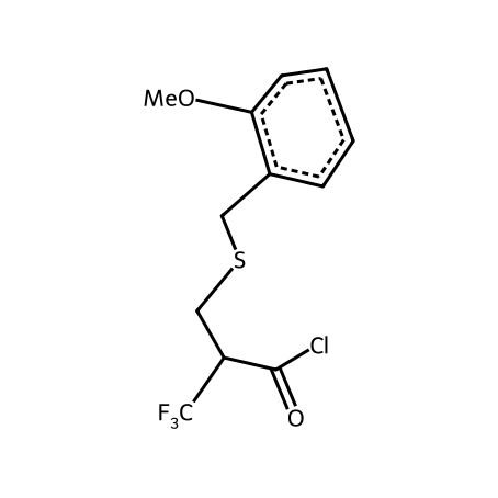 COc1ccccc1CSCC(C(=O)Cl)C(F)(F)F